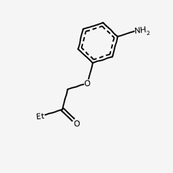 CCC(=O)COc1cccc(N)c1